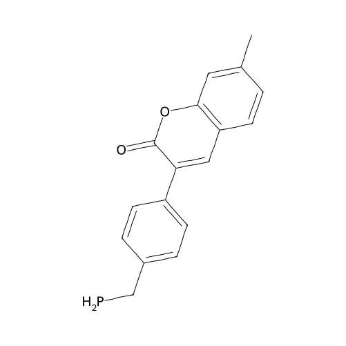 Cc1ccc2cc(-c3ccc(CP)cc3)c(=O)oc2c1